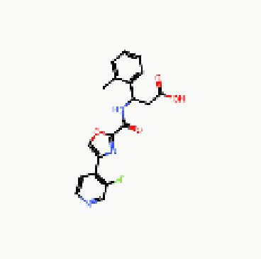 Cc1ccccc1C(CC(=O)O)NC(=O)c1nc(-c2ccncc2F)co1